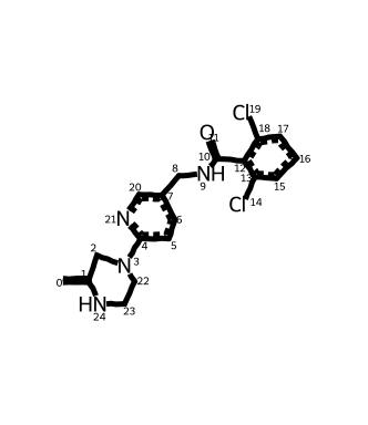 C=C1CN(c2ccc(CNC(=O)c3c(Cl)cccc3Cl)cn2)CCN1